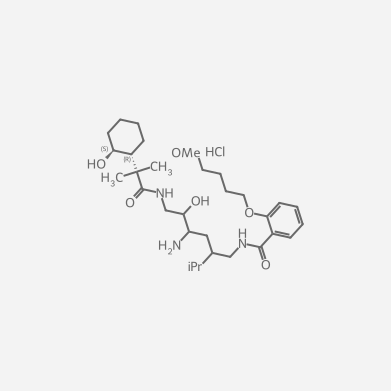 COCCCCOc1ccccc1C(=O)NCC(CC(N)C(O)CNC(=O)C(C)(C)[C@H]1CCCC[C@@H]1O)C(C)C.Cl